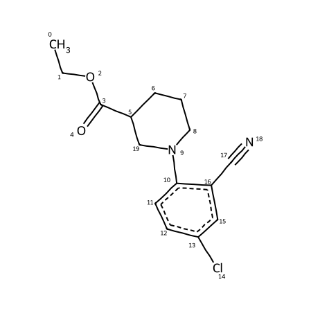 CCOC(=O)C1CCCN(c2ccc(Cl)cc2C#N)C1